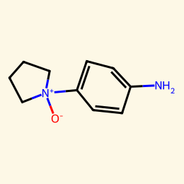 Nc1ccc([N+]2([O-])CCCC2)cc1